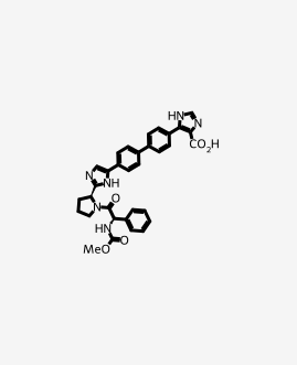 COC(=O)N[C@@H](C(=O)N1CCC[C@H]1c1ncc(-c2ccc(-c3ccc(-c4[nH]cnc4C(=O)O)cc3)cc2)[nH]1)c1ccccc1